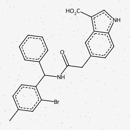 Cc1ccc(C(NC(=O)Cc2ccc3[nH]cc(C(=O)O)c3c2)c2ccccc2)c(Br)c1